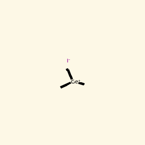 [CH3][Ge+]([CH3])[CH3].[I-]